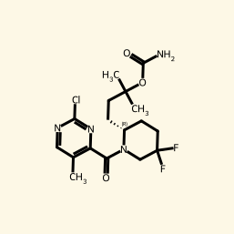 Cc1cnc(Cl)nc1C(=O)N1CC(F)(F)CC[C@H]1CCC(C)(C)OC(N)=O